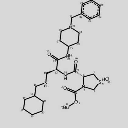 CC(C)(C)OC(=O)N1CSC[C@H]1C(=O)N[C@@H](CSCC1CCCCC1)C(=O)NC1CCN(Cc2ccccc2)CC1.Cl